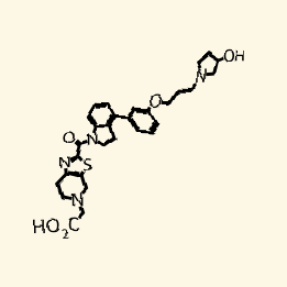 O=C(O)CN1CCc2nc(C(=O)N3CCc4c(-c5cccc(OCCCN6CCC(O)C6)c5)cccc43)sc2C1